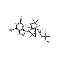 CCOP(C)(=O)CC(=O)[C@]12C[C@@H]1[C@@H](n1cnc3c(N)nc(Cl)nc31)[C@@H]1OC(C)(C)O[C@@H]12